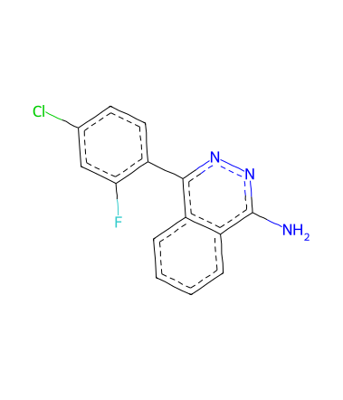 Nc1nnc(-c2ccc(Cl)cc2F)c2ccccc12